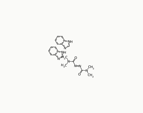 CN(C)C(=O)N=NC(=O)N(C)C.c1ccc2[nH]cnc2c1.c1ccc2[nH]cnc2c1